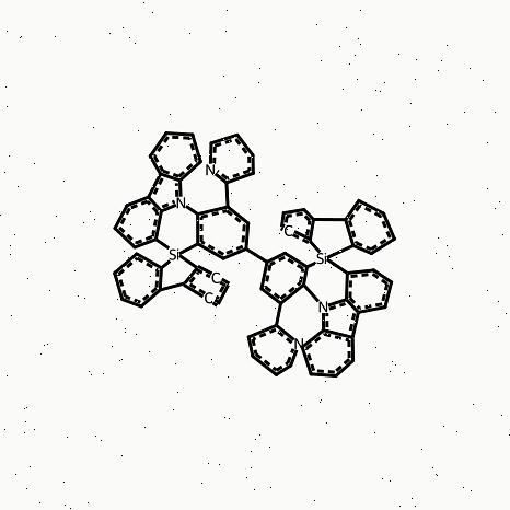 c1ccc(-c2cc(-c3cc(-c4ccccn4)c4c(c3)[Si]3(c5ccccc5-c5ccccc53)c3cccc5c6ccccc6n-4c35)cc3c2-n2c4ccccc4c4cccc(c42)[Si]32c3ccccc3-c3ccccc32)nc1